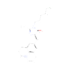 CC1=N/C(=C\c2cc3c4c(c2)CCCN4CCC3)C(=O)N1CCCCCCl